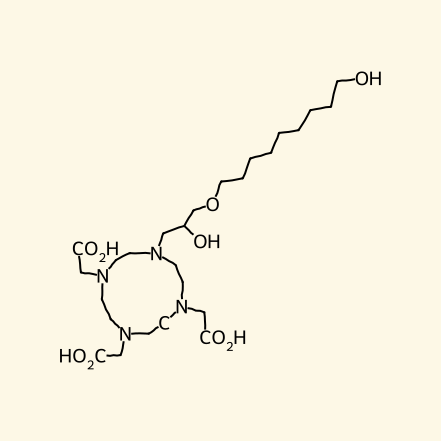 O=C(O)CN1CCN(CC(=O)O)CCN(CC(O)COCCCCCCCCCO)CCN(CC(=O)O)CC1